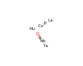 [Co].[La].[LiH].[O]=[Nb].[Ta].[Zr]